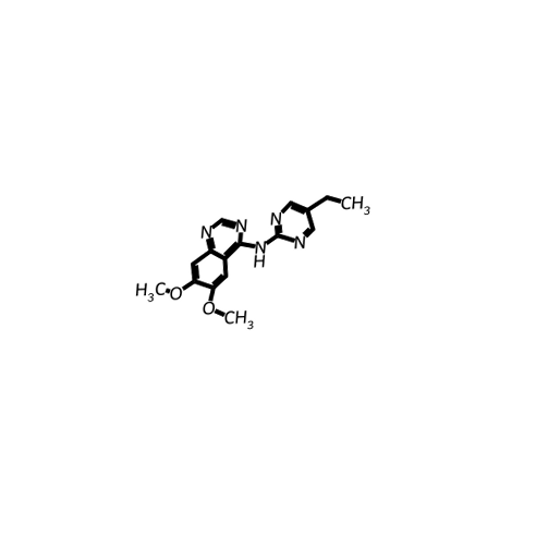 CCc1cnc(Nc2ncnc3cc(OC)c(OC)cc23)nc1